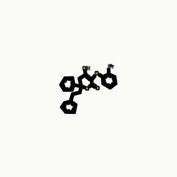 CC(C)c1ccccc1OC1=C(O)CC(CCc2ccccc2)(c2ccccc2)OC1=O